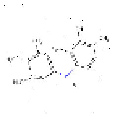 Cc1cc(N(C)c2ccc(C)c(C)c2C)cc(C)c1C